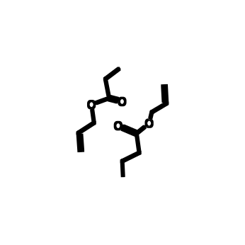 C=CCOC(=O)CC.C=CCOC(=O)CCC